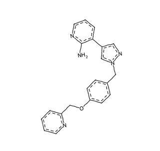 Nc1ncccc1-c1cnn(Cc2ccc(OCc3ccccn3)cc2)c1